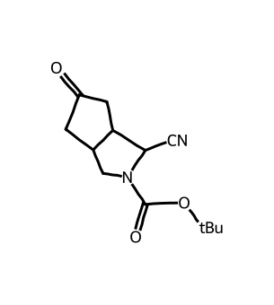 CC(C)(C)OC(=O)N1CC2CC(=O)CC2C1C#N